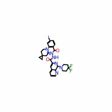 O=C(NNC(=O)c1ccc(I)cc1N1CCC2(CC1)CC2)c1cc2cccnc2c(N2CCC(F)(F)CC2)n1